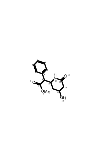 COC(=O)C(c1ccccc1)C1CC(O)CC(=O)N1